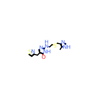 Cc1[nH]cnc1CSCCNc1ncc(Cc2ccsn2)c(=O)[nH]1